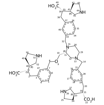 O=C(O)[C@@H](Cc1cccc(COC[C@H]2CN(Cc3cccc(C[C@H](C(=O)O)[C@H]4CCNC4)c3)CCN2Cc2cccc(C[C@H](C(=O)O)[C@H]3CCNC3)c2)c1)[C@H]1CCNC1